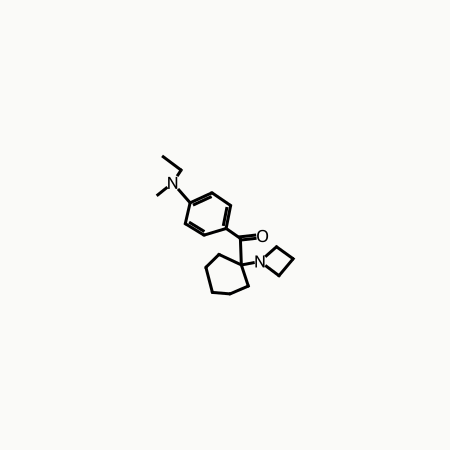 CCN(C)c1ccc(C(=O)C2(N3CCC3)CCCCC2)cc1